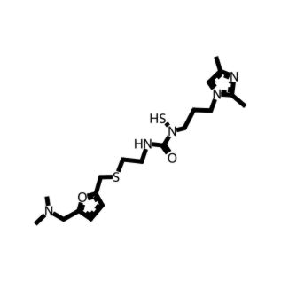 Cc1cn(CCCN(S)C(=O)NCCSCc2ccc(CN(C)C)o2)c(C)n1